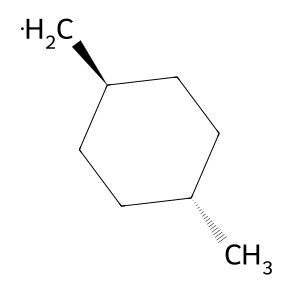 [CH2][C@H]1CC[C@H](C)CC1